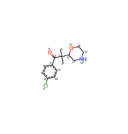 CC(C)(C(=O)c1ccc(Cl)cc1)C1CNCCO1